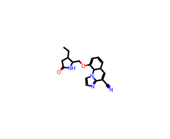 CCC1CC(=O)NC1COC1=CC=CC2C=C(C#N)c3nccn3C12